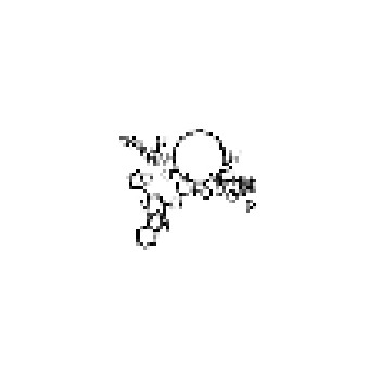 CC(C)(C)OC(=O)N[C@H]1CCCCC/C=C\[C@@H]2C[C@@]2(C(=O)NS(=O)(=O)C2CC2)NC(=O)[C@@H]2C[C@@H](Oc3cc(-c4ccco4)nc4c5ccccc5nn34)CN2C1=O